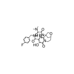 CN(C)C(=O)C(=O)NC12COC(CCn3c1nc(C(=O)NCc1ccc(F)cc1)c(O)c3=O)C2